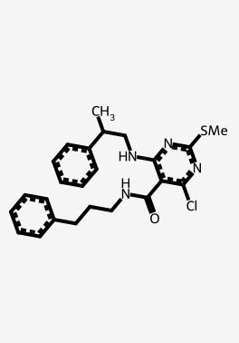 CSc1nc(Cl)c(C(=O)NCCCc2ccccc2)c(NCC(C)c2ccccc2)n1